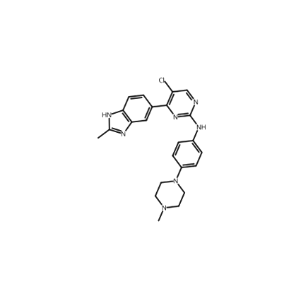 Cc1nc2cc(-c3nc(Nc4ccc(N5CCN(C)CC5)cc4)ncc3Cl)ccc2[nH]1